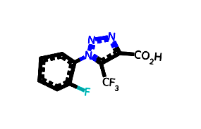 O=C(O)c1nnn(-c2ccccc2F)c1C(F)(F)F